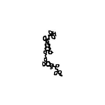 CCOC(=O)CCC(=O)c1cc2cc(OCCCOc3cc4c(cc3OC)CN(C(=O)CCC(=O)O)C4)c(OC)cc2s1